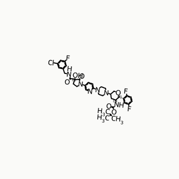 CC(C)(C)OC(=O)N[C@H]1CC(N2CCN(c3ccc(N4CC[C@](O)(C(=O)NCc5cc(F)cc(Cl)c5)C4=O)cn3)CC2)CO[C@@H]1c1cc(F)ccc1F